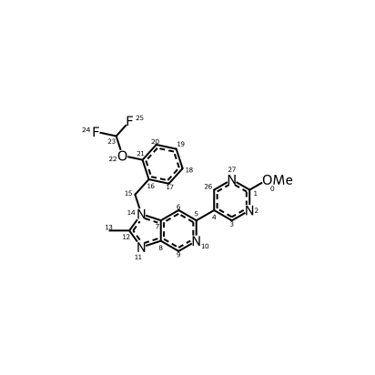 COc1ncc(-c2cc3c(cn2)nc(C)n3Cc2ccccc2OC(F)F)cn1